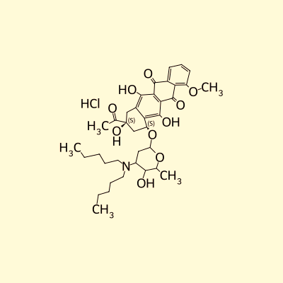 CCCCCN(CCCCC)C1CC(O[C@H]2C[C@](O)(C(C)=O)Cc3c(O)c4c(c(O)c32)C(=O)c2c(OC)cccc2C4=O)OC(C)C1O.Cl